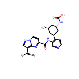 C=C(C)c1cnn2ccc(C(=O)Nc3cnccc3[C@H]3C[C@@H](C)C[C@H](NC(=O)O)C3)nc12